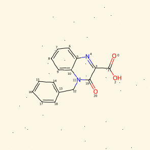 O=C(O)c1nc2ccccc2n(Cc2ccccc2)c1=O